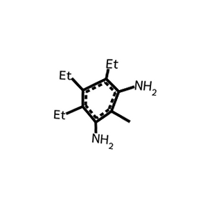 CCc1c(N)c(C)c(N)c(CC)c1CC